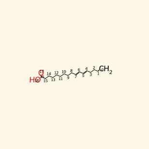 C=CCCC=CC=CCCCCCCCCC(=O)O